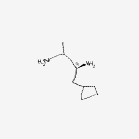 CC(N)[C@@H](N)CC1CCC1